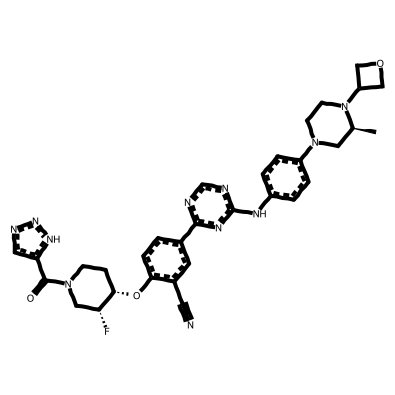 C[C@H]1CN(c2ccc(Nc3ncnc(-c4ccc(O[C@H]5CCN(C(=O)c6cnn[nH]6)C[C@H]5F)c(C#N)c4)n3)cc2)CCN1C1COC1